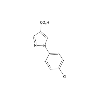 O=C(O)c1cnn(-c2[c]cc(Cl)cc2)c1